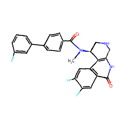 CN(C(=O)c1ccc(-c2cccc(F)c2)cc1)[C@H]1CNCc2[nH]c(=O)c3cc(F)c(F)cc3c21